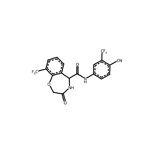 N#Cc1ccc(NC(=O)C2NC(=O)COc3c2cccc3C(F)(F)F)cc1C(F)(F)F